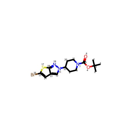 CC(C)(C)OC(=O)N1CCC(n2cc3cc(Br)sc3n2)CC1